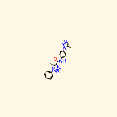 Cc1cnnn1-c1ccc(NC(=O)c2nnn(-c3ccccc3)c2C)cc1